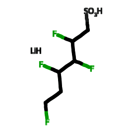 O=S(=O)(O)CC(F)C(F)C(F)CCF.[LiH]